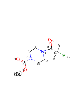 CC(C)(C)OC(=O)N1CCN(C(=O)C(C)(C)F)CC1